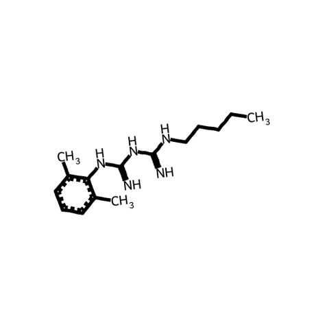 CCCCCNC(=N)NC(=N)Nc1c(C)cccc1C